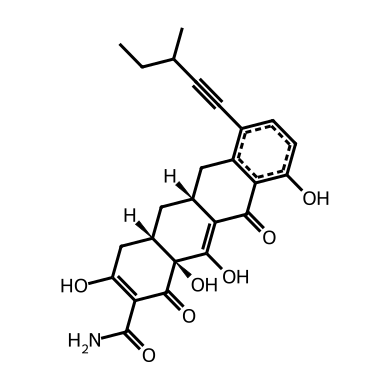 CCC(C)C#Cc1ccc(O)c2c1C[C@H]1C[C@H]3CC(O)=C(C(N)=O)C(=O)[C@@]3(O)C(O)=C1C2=O